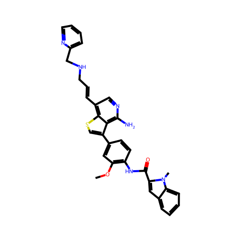 COc1cc(-c2csc3c(/C=C/CNCc4ccccn4)cnc(N)c23)ccc1NC(=O)c1cc2ccccc2n1C